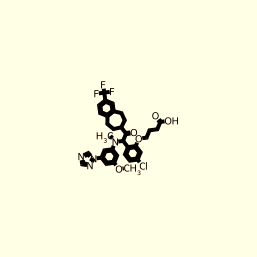 COc1cc(N(C)C(C(=O)C2CCc3ccc(C(F)(F)F)cc3CC2)c2ccc(Cl)cc2OCCCC(=O)O)cc(-n2cncn2)c1